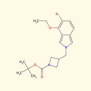 CCOc1c(Br)ccc2cn(CC3CN(C(=O)OC(C)(C)C)C3)cc12